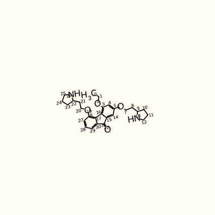 CCOc1cc(OCCC2CCCN2)cc2c1-c1c(OCCC3CCCN3)cccc1C2=O